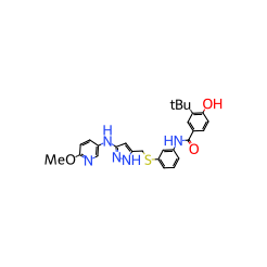 COc1ccc(Nc2cc(CSc3cccc(NC(=O)c4ccc(O)c(C(C)(C)C)c4)c3)[nH]n2)cn1